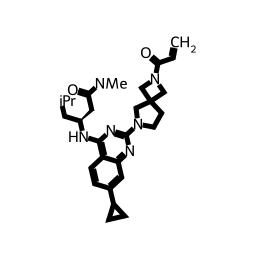 C=CC(=O)N1CC2(CCN(c3nc(N[C@H](CC(=O)NC)CC(C)C)c4ccc(C5CC5)cc4n3)C2)C1